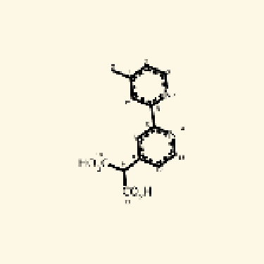 Cc1ccnc(-c2cc(C(C(=O)O)C(=O)O)ccn2)c1